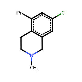 CC(C)c1cc(Cl)cc2c1CCN(C)C2